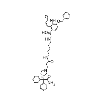 NC(=O)C(c1ccccc1)(c1ccccc1)[C@@H]1CCN(CCC(=O)NCCCCCNC[C@@H](O)c2ccc(OCc3ccccc3)c3[nH]c(=O)ccc23)C1